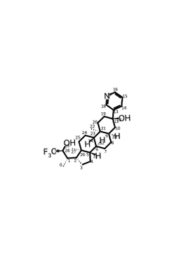 C[C@@H]([C@H]1CC[C@H]2[C@@H]3CC[C@@H]4C[C@@](O)(c5cccnc5)CC[C@]4(C)[C@H]3CC[C@]12C)[C@H](O)C(F)(F)F